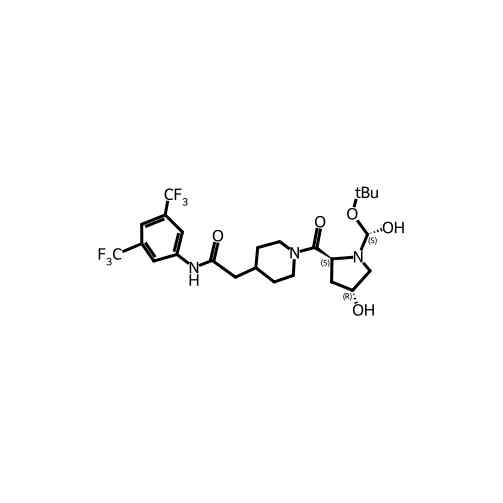 CC(C)(C)O[C@H](O)N1C[C@H](O)C[C@H]1C(=O)N1CCC(CC(=O)Nc2cc(C(F)(F)F)cc(C(F)(F)F)c2)CC1